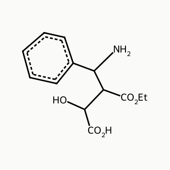 CCOC(=O)C(C(O)C(=O)O)C(N)c1ccccc1